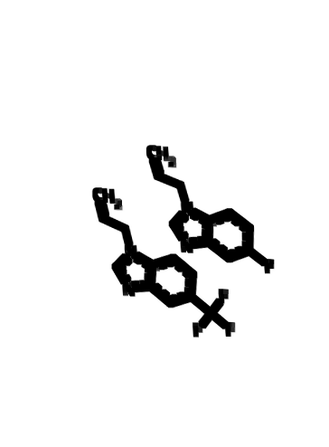 C=CCn1cnc2cc(C(F)(F)F)ccc21.C=CCn1cnc2cc(F)ccc21